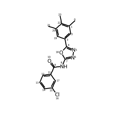 Cc1cc(-c2nnc(NC(=O)c3cccc(Cl)c3)o2)cc(C)c1C